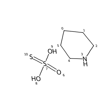 C1CCNCC1.O=S(O)(O)=S